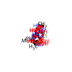 CN[C@H](CC(C)C)C(=O)N[C@H]1C(=O)N[C@@H](CC(N)=O)C(=O)N[C@H]2C(=O)N[C@@H]3C(=O)N[C@H](C(=O)N[C@H](C(=O)NC4C5CC6CC(C5)CC4C6)c4cc(OC(=O)N[C@@H](C)c5ccccc5)cc(O)c4-c4cc3ccc4O)[C@H](O)c3ccc(c(Cl)c3)Oc3cc2cc(c3OC2O[C@H](COC(=O)N[C@@H](C)c3ccccc3)[C@@H](O)[C@H](O)[C@H]2O)Oc2ccc(cc2Cl)[C@H]1O